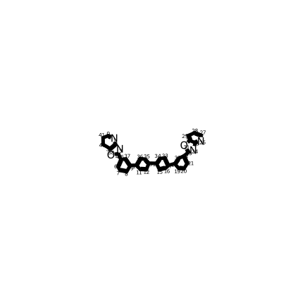 C1=Nc2nc(-c3cccc(-c4ccc(-c5ccc(-c6cccc(-c7nc8ncccc8o7)c6)cc5)cc4)c3)oc2CC1